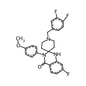 COc1ccc(N2C(=O)c3ccc(F)cc3NC23CCN(Cc2ccc(F)c(F)c2)CC3)cc1